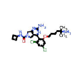 CC(C)(N)CCCCOc1cc(Cl)cc(Cl)c1-c1nc(N)nc2c1CN(C(=O)NC1CCC1)C2